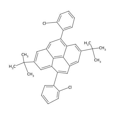 CC(C)(C)c1cc2cc(-c3ccccc3Cl)c3cc(C(C)(C)C)cc4cc(-c5ccccc5Cl)c(c1)c2c43